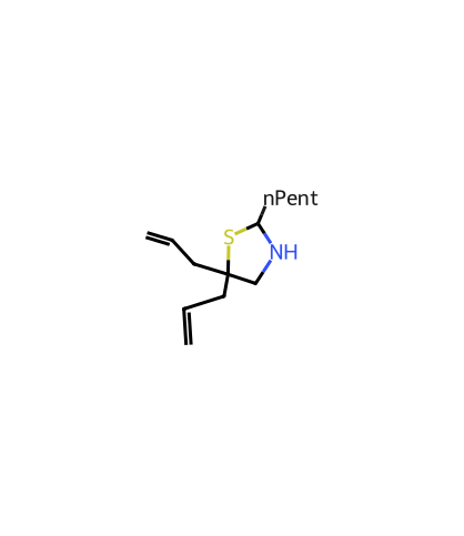 C=CCC1(CC=C)CNC(CCCCC)S1